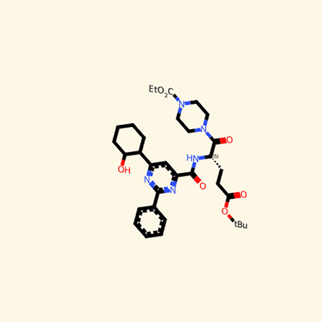 CCOC(=O)N1CCN(C(=O)[C@H](CCC(=O)OC(C)(C)C)NC(=O)c2cc(C3CCCCC3O)nc(-c3ccccc3)n2)CC1